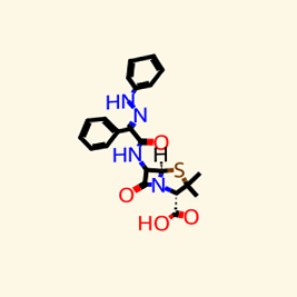 CC1(C)S[C@@H]2C(NC(=O)/C(=N/Nc3ccccc3)c3ccccc3)C(=O)N2[C@H]1C(=O)O